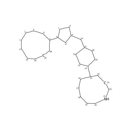 C1CCCCC(C2CCC(CC3CCC(C4CCCCCNCCC4)CC3)C2)CCCC1